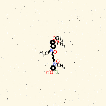 CCCN(C(=O)CCCCCN(C(C)=O)c1ccc(O)c(Cl)c1)[C@H]1CCc2c(ccc(OC)c2OC)C1